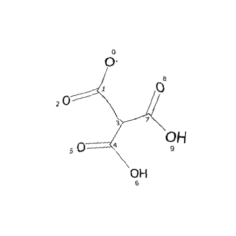 [O]C(=O)C(C(=O)O)C(=O)O